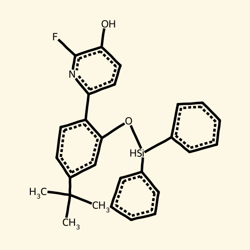 CC(C)(C)c1ccc(-c2ccc(O)c(F)n2)c(O[SiH](c2ccccc2)c2ccccc2)c1